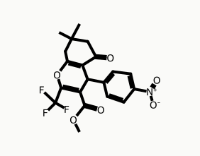 COC(=O)C1=C(C(F)(F)F)OC2=C(C(=O)CC(C)(C)C2)C1c1ccc([N+](=O)[O-])cc1